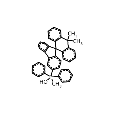 CC1(C)c2ccccc2C2(c3ccccc3-c3cc(P(C)(O)(c4ccccc4)c4ccccc4)ccc32)c2ccccc21